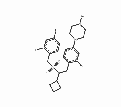 CC(=O)N1CCN(c2ccc(CN(C3CCC3)S(=O)(=O)Cc3ccc(F)cc3F)c(F)c2)CC1